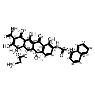 CCC(=O)O[C@@H]1C2C(C(=O)C(C(N)=O)=C(O)[C@H]2N)C(O)=C2C(=O)c3c(ccc(NC(=O)Nc4cccc5ccccc45)c3O)[C@H](C)C21